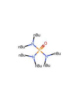 CCCCN(CCCC)P(=O)(N(CCCC)CCCC)N(CCCC)CCCC